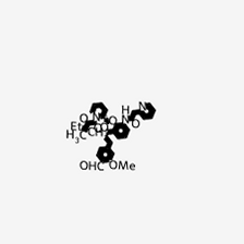 CCC(C)(C)C(=O)C(=O)N1CCCC[C@H]1C(=O)O[C@H](CCc1ccc(C=O)c(OC)c1)c1cccc(NC(=O)Cc2ccccn2)c1